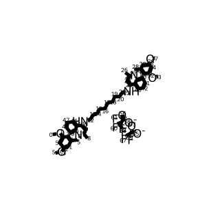 COc1cc(C[n+]2c(C)cc(NCCCCCCCCCCNc3cc(C)[n+](Cc4cc(OC)cc(OC)c4)c4ccccc34)c3ccccc32)cc(OC)c1.O=C([O-])C(F)(F)F.O=C([O-])C(F)(F)F